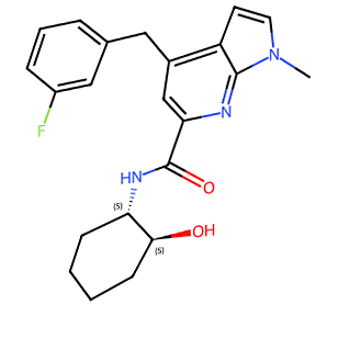 Cn1ccc2c(Cc3cccc(F)c3)cc(C(=O)N[C@H]3CCCC[C@@H]3O)nc21